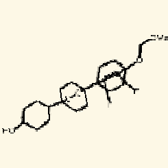 COCOC12CCC(C34CCC(C5CCC(O)CC5)(CC3)CC4)(CC1)C(F)=C2F